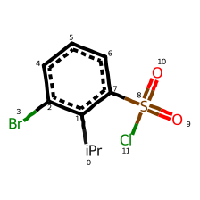 CC(C)c1c(Br)cccc1S(=O)(=O)Cl